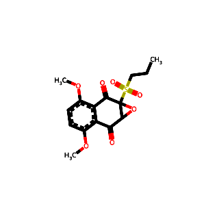 CCCS(=O)(=O)C12OC1C(=O)c1c(OC)ccc(OC)c1C2=O